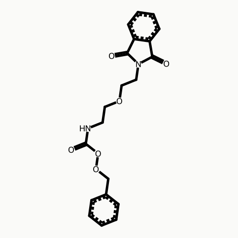 O=C(NCCOCCN1C(=O)c2ccccc2C1=O)OOCc1ccccc1